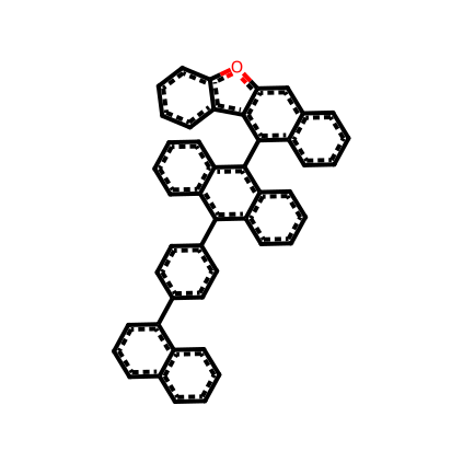 c1ccc2c(-c3ccc(-c4c5ccccc5c(-c5c6ccccc6cc6oc7ccccc7c56)c5ccccc45)cc3)cccc2c1